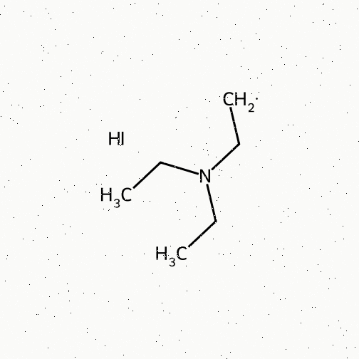 I.[CH2]CN(CC)CC